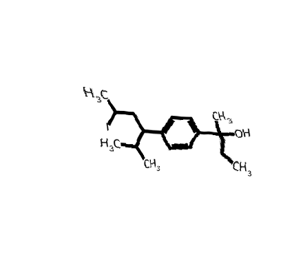 CCC(C)(O)c1ccc(C(CC(C)I)C(C)C)cc1